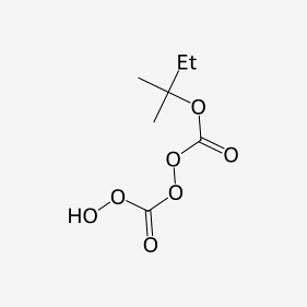 CCC(C)(C)OC(=O)OOC(=O)OO